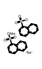 COS(=O)(=O)c1cccc2ccccc12.O=S(=O)([O-])c1cccc2ccccc12.[Na+]